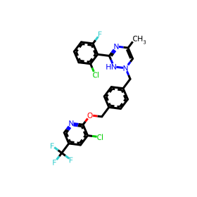 CC1=CN(Cc2ccc(COc3ncc(C(F)(F)F)cc3Cl)cc2)NC(c2c(F)cccc2Cl)=N1